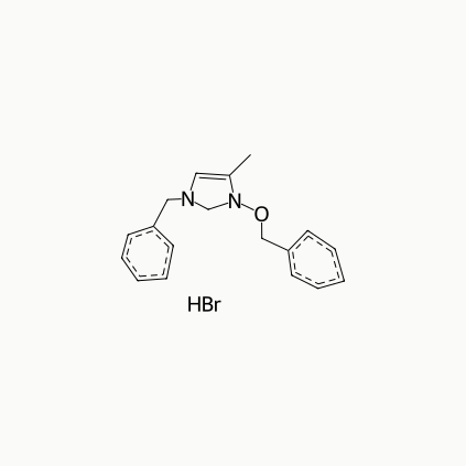 Br.CC1=CN(Cc2ccccc2)CN1OCc1ccccc1